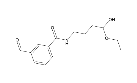 CCOC(O)CCCNC(=O)c1cccc(C=O)c1